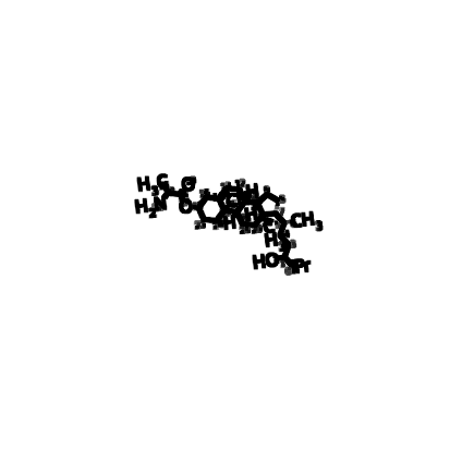 CC(C)C(O)CC[C@@H](C)[C@H]1CC[C@H]2[C@@H]3CC=C4C[C@@H](OC(=O)[C@H](C)N)CC[C@]4(C)[C@H]3CC[C@]12C